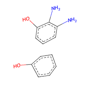 Nc1cccc(O)c1N.Oc1ccccc1